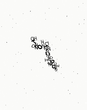 Cn1nc(C2CCC(=O)NC2=O)c2cccc(NC(=O)CN3CCN(c4ncc(Cl)c(Nc5ccc6c(c5)n(CCC(C)(C)O)c(=O)n6C)n4)CC3)c21